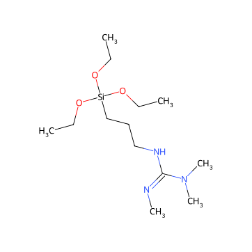 CCO[Si](CCCNC(=NC)N(C)C)(OCC)OCC